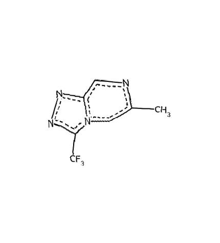 Cc1cn2c(C(F)(F)F)nnc2cn1